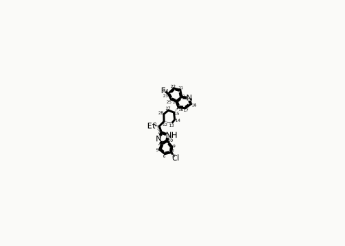 CC[C@@H](c1nc2ccc(Cl)cc2[nH]1)[C@H]1CC[C@@H](c2ccnc3ccc(F)cc32)CC1